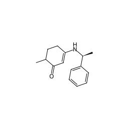 CC1CCC(N[C@@H](C)c2ccccc2)=CC1=O